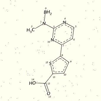 BN(C)c1nccc(-c2ccc(C(=O)O)s2)n1